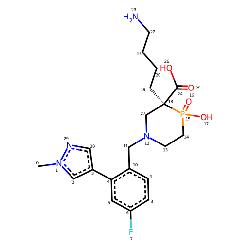 Cn1cc(-c2cc(F)ccc2CN2CCP(=O)(O)[C@](CCCCN)(C(=O)O)C2)cn1